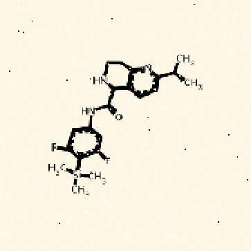 CC(C)c1ccc2c(n1)CCNC2C(=O)Nc1cc(F)c([Si](C)(C)C)c(F)c1